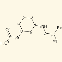 CC(=O)SC1CCCC(NCC(F)F)C1